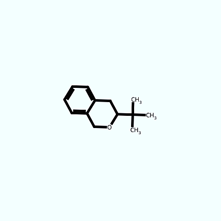 CC(C)(C)C1Cc2ccccc2CO1